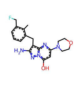 Cc1c(CF)cccc1Cc1c(N)nn2c(O)cc(N3CCOCC3)nc12